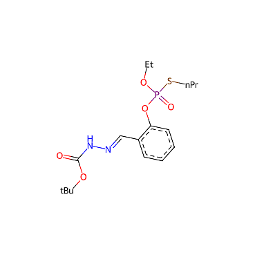 CCCSP(=O)(OCC)Oc1ccccc1C=NNC(=O)OC(C)(C)C